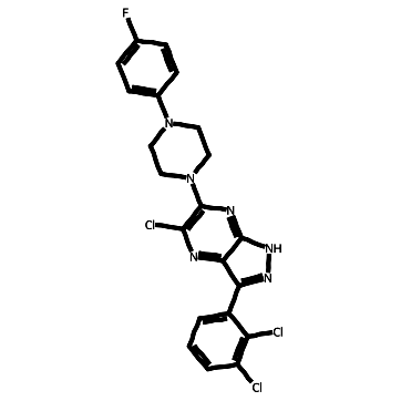 Fc1ccc(N2CCN(c3nc4[nH]nc(-c5cccc(Cl)c5Cl)c4nc3Cl)CC2)cc1